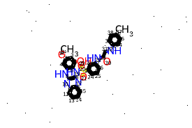 COc1cc(O)cc(Nc2nc3ccccc3nc2NS(=O)(=O)c2cccc(NC(=O)CNc3ccc(C)cc3)c2)c1